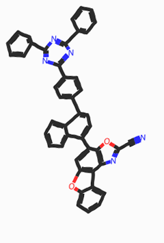 N#Cc1nc2c(o1)c(-c1ccc(-c3ccc(-c4nc(-c5ccccc5)nc(-c5ccccc5)n4)cc3)c3ccccc13)cc1oc3ccccc3c12